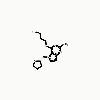 CCCCNc1nc(N)nc2ccn(C[C@@H]3CCCO3)c12